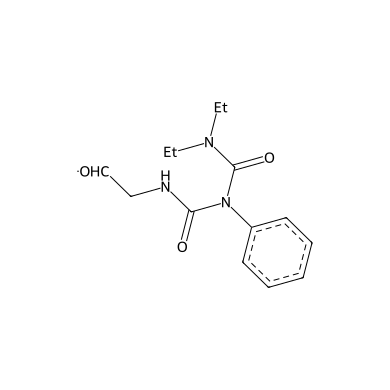 CCN(CC)C(=O)N(C(=O)NC[C]=O)c1ccccc1